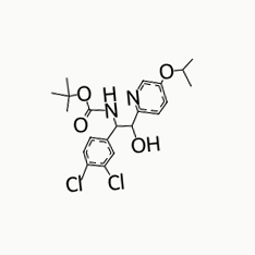 CC(C)Oc1ccc(C(O)C(NC(=O)OC(C)(C)C)c2ccc(Cl)c(Cl)c2)nc1